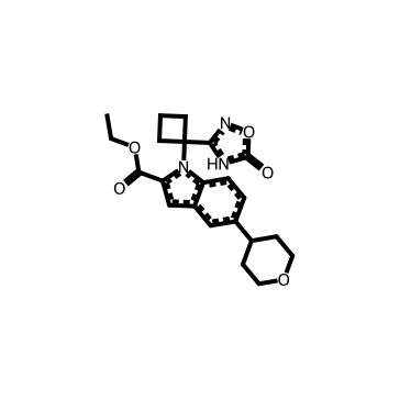 CCOC(=O)c1cc2cc(C3CCOCC3)ccc2n1C1(c2noc(=O)[nH]2)CCC1